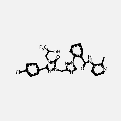 Cc1ncccc1NC(=O)c1ccccc1-n1cnc(Cn2nc(-c3ccc(Cl)cc3)n(CC(O)C(F)(F)F)c2=O)n1